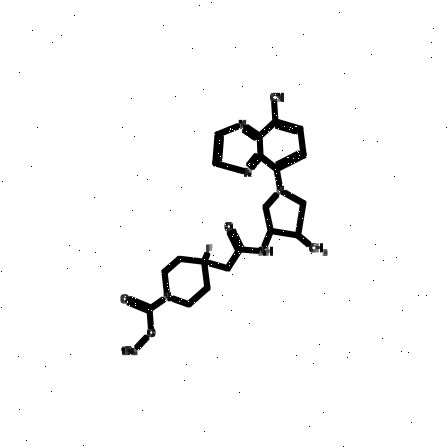 CC1CN(c2ccc(C#N)c3nccnc23)CC1NC(=O)CC1(F)CCN(C(=O)OC(C)(C)C)CC1